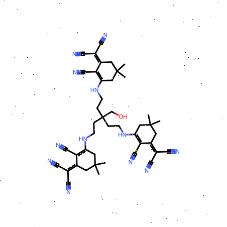 CC1(C)CC(NCCC(CO)(CCNC2=C(C#N)C(=C(C#N)C#N)CC(C)(C)C2)CCNC2=C(C#N)C(=C(C#N)C#N)CC(C)(C)C2)=C(C#N)C(=C(C#N)C#N)C1